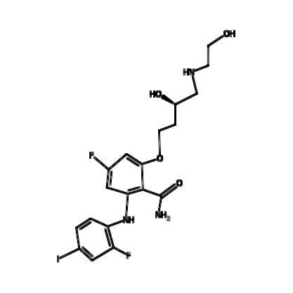 NC(=O)c1c(Nc2ccc(I)cc2F)cc(F)cc1OCC[C@@H](O)CNCCO